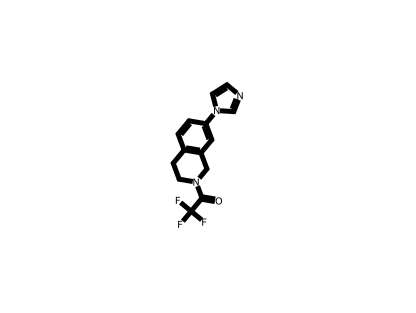 O=C(N1CCc2ccc(-n3ccnc3)cc2C1)C(F)(F)F